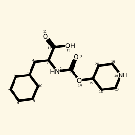 O=C(NC(CC1CCCCC1)C(=O)O)OC1CCNCC1